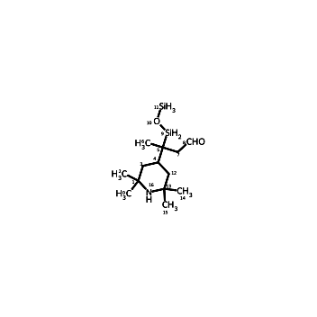 CC1(C)CC(C(C)(CC=O)[SiH2]O[SiH3])CC(C)(C)N1